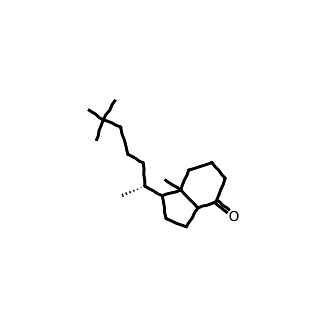 C[C@H](CCCC(C)(C)C)C1CCC2C(=O)CCCC21C